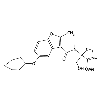 COC(=O)C(C)(CO)NC(=O)c1c(C)oc2ccc(OC3CC4CC4C3)cc12